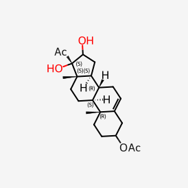 CC(=O)OC1CC[C@@]2(C)C(=CC[C@@H]3[C@@H]2CC[C@@]2(C)[C@H]3CC(O)[C@]2(O)C(C)=O)C1